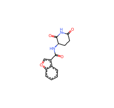 O=C1CC[C@@H](NC(=O)c2coc3ccccc23)C(=O)N1